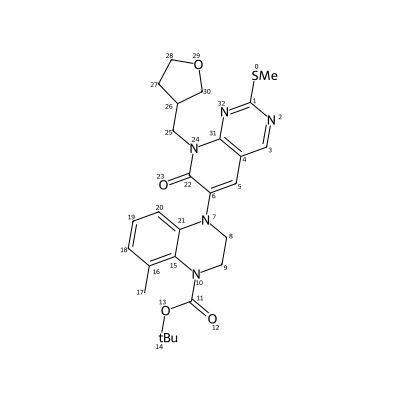 CSc1ncc2cc(N3CCN(C(=O)OC(C)(C)C)c4c(C)cccc43)c(=O)n(CC3CCOC3)c2n1